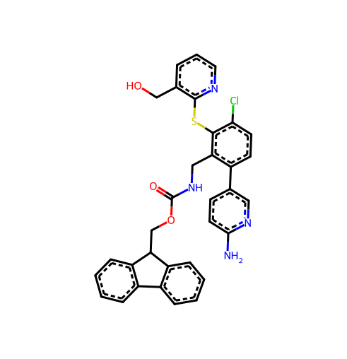 Nc1ccc(-c2ccc(Cl)c(Sc3ncccc3CO)c2CNC(=O)OCC2c3ccccc3-c3ccccc32)cn1